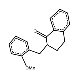 COc1ccccc1CC1CCc2ccccc2C1=O